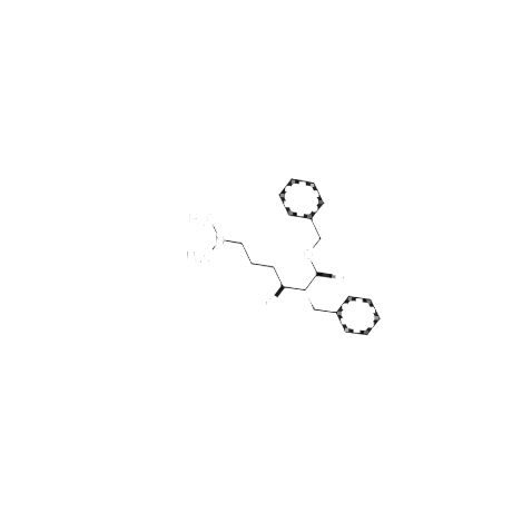 CN(C)CCCC(=O)[C@H](Cc1ccccc1)C(=O)OCc1ccccc1